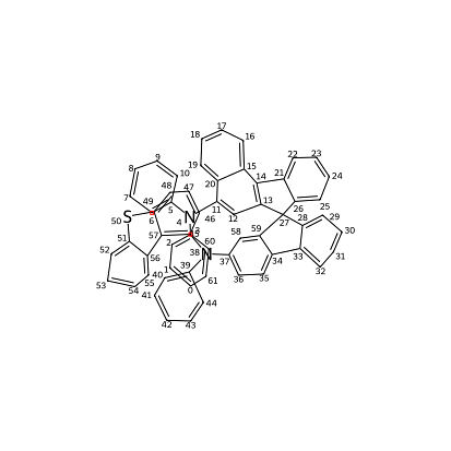 c1ccc(N(c2ccccc2)c2cc3c(c4ccccc24)-c2ccccc2C32c3ccccc3-c3ccc(N(c4ccccc4)c4cccc5sc6ccccc6c45)cc32)cc1